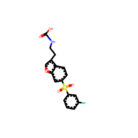 O=C(O)NCCc1coc2cc(S(=O)(=O)c3cccc(F)c3)ccc12